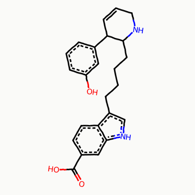 O=C(O)c1ccc2c(CCCCC3NCC=CC3c3cccc(O)c3)c[nH]c2c1